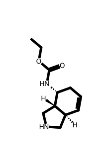 CCOC(=O)N[C@@H]1CC=C[C@H]2CNC[C@@H]21